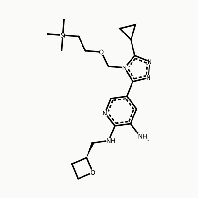 C[Si](C)(C)CCOCn1c(-c2cnc(NC[C@@H]3CCO3)c(N)c2)nnc1C1CC1